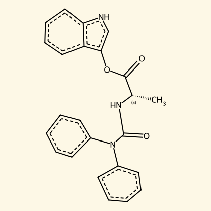 C[C@H](NC(=O)N(c1ccccc1)c1ccccc1)C(=O)Oc1c[nH]c2ccccc12